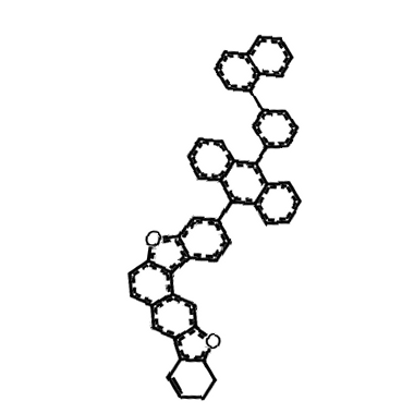 C1=Cc2c(oc3cc4c(ccc5oc6cc(-c7c8ccccc8c(-c8cccc(-c9cccc%10ccccc9%10)c8)c8ccccc78)ccc6c54)cc23)CC1